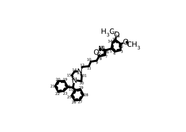 COc1ccc(-c2cc(CCCCN3CCN(C(c4ccccc4)c4ccccc4)CC3)on2)cc1OC